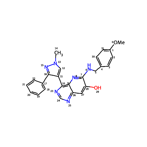 COc1ccc(CNc2nc3c(-c4cn(C)nc4-c4ccccc4)ncnc3cc2O)cc1